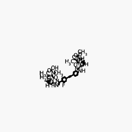 COC(=O)N[C@H](C(=O)N1[C@@H]2C[C@@H]2C[C@H]1c1nc2cc(C#Cc3ccc(-c4c[nH]c([C@@H]5C[C@H]6C[C@H]6N5C(=O)[C@H](C(C)C)N(C)C(=O)O)n4)c(F)c3)ccc2[nH]1)C(C)C